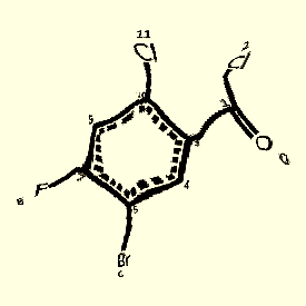 O=C(Cl)c1cc(Br)c(F)cc1Cl